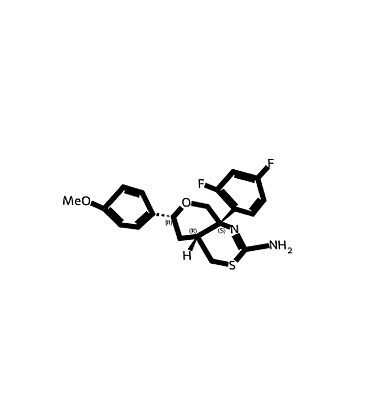 COc1ccc([C@H]2C[C@H]3CSC(N)=N[C@@]3(c3ccc(F)cc3F)CO2)cc1